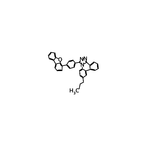 CCCCc1ccc2c(c1)c1ccccc1c1nnc(-c3ccc(-c4cccc5c4oc4ccccc45)cc3)n21